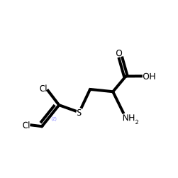 NC(CS/C(Cl)=C/Cl)C(=O)O